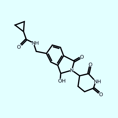 O=C1CCC(N2C(=O)c3ccc(CNC(=O)C4CC4)cc3C2O)C(=O)N1